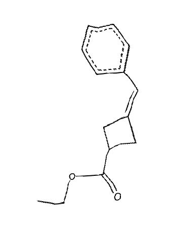 CCOC(=O)C1CC(=Cc2ccccc2)C1